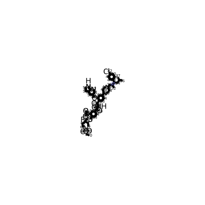 CCS(=O)(=O)N1CCC(F)(COc2ccc(S(=O)(=O)NC(=O)c3ccc(N4CCN(C/C(C)=C(/CC(C)C)c5ccc(Cl)cc5)CC4)cc3Oc3cnc4[nH]ccc4c3)cc2[N+](=O)[O-])CC1